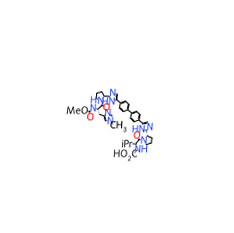 COC(=O)N[C@@H](Cc1cn(C)cn1)C(=O)N1CCCC1c1ncc(-c2ccc(-c3ccc(-c4cnc([C@@H]5CCCN5C(=O)[C@@H](NC(=O)O)C(C)C)[nH]4)cc3)cc2)[nH]1